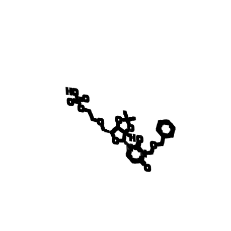 CC1(C)OC2[C@@H](COCCOS(=O)(=O)O)O[C@@H](n3ccc(=O)n(COCc4ccccc4)c3=O)[C@H]2O1